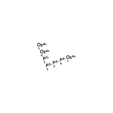 [Os+4].[Os+4].[Os+4].[P-3].[P-3].[P-3].[P-3]